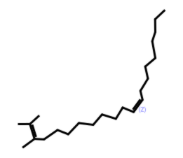 CCCCCCCC/C=C\CCCCCCCCC(C)=C(C)C